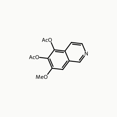 COc1cc2cnccc2c(OC(C)=O)c1OC(C)=O